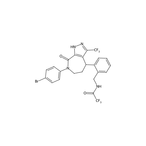 O=C1c2[nH]nc(C(F)(F)F)c2C(c2ccccc2CNC(=O)C(F)(F)F)CCN1c1ccc(Br)cc1